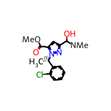 CNC(O)c1cc(C(=O)OC)n([C@@H](C)c2ccccc2Cl)n1